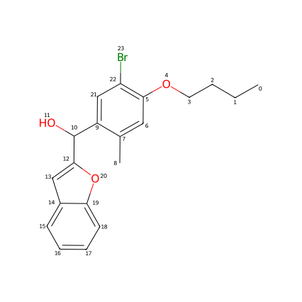 CCCCOc1cc(C)c(C(O)c2cc3ccccc3o2)cc1Br